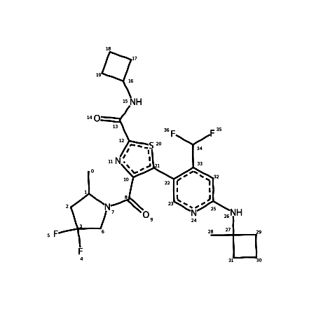 CC1CC(F)(F)CN1C(=O)c1nc(C(=O)NC2CCC2)sc1-c1cnc(NC2(C)CCC2)cc1C(F)F